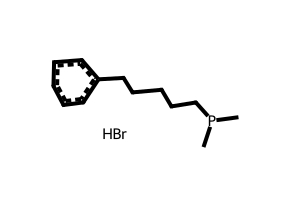 Br.CP(C)CCCCCc1ccccc1